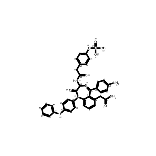 NC(=O)Cc1cccc2c1C(c1ccc(N)cc1)=NC(NC(=O)Cc1ccc(OP(=O)(O)O)cc1)C(=O)N2c1ccc(Oc2ccccc2)cc1